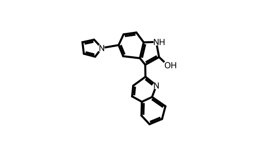 Oc1[nH]c2ccc(-n3cccc3)cc2c1-c1ccc2ccccc2n1